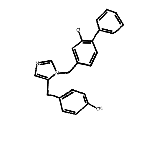 N#Cc1ccc(Cc2cncn2Cc2ccc(-c3ccccc3)c(Cl)c2)cc1